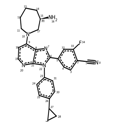 N#Cc1ccc(-c2nc3c(N4CCCC[C@@H](N)C4)ccnc3n2-c2ccc(C3CC3)cc2)cc1F